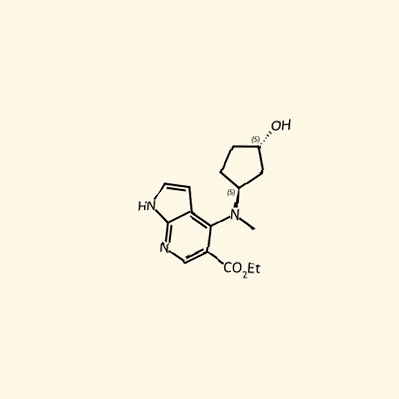 CCOC(=O)c1cnc2[nH]ccc2c1N(C)[C@H]1CC[C@H](O)C1